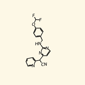 N#CC(c1ccccn1)c1ccnc(NCc2ccc(OC(F)F)cc2)n1